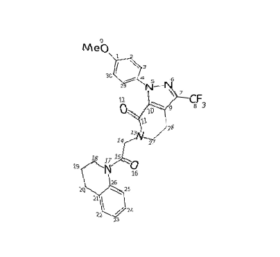 COc1ccc(-n2nc(C(F)(F)F)c3c2C(=O)N(CC(=O)N2CCCc4ccccc42)CC3)cc1